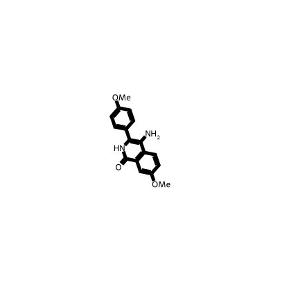 COc1ccc(-c2[nH]c(=O)c3cc(OC)ccc3c2N)cc1